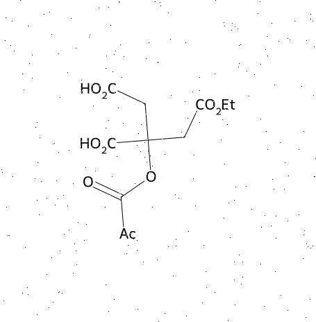 CCOC(=O)CC(CC(=O)O)(OC(=O)C(C)=O)C(=O)O